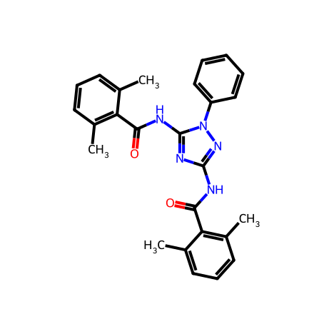 Cc1cccc(C)c1C(=O)Nc1nc(NC(=O)c2c(C)cccc2C)n(-c2ccccc2)n1